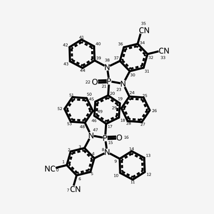 N#Cc1cc2c(cc1C#N)N(c1ccccc1)P(=O)(c1ccc(P3(=O)N(c4ccccc4)c4cc(C#N)c(C#N)cc4N3c3ccccc3)cc1)N2c1ccccc1